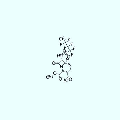 CC(=O)OCC1=C(C(=O)OC(C)(C)C)N2C(=O)[C@H](NS(=O)(=O)C(F)(F)C(F)(F)C(F)(F)C(F)(F)F)[C@H]2SC1